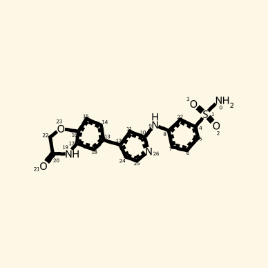 NS(=O)(=O)c1cccc(Nc2cc(-c3ccc4c(c3)NC(=O)CO4)ccn2)c1